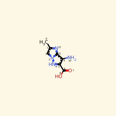 Cc1cn2[nH]c(C(=O)O)c(N)c2n1